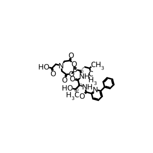 CC(C)C[C@H](NC(=O)[C@@H](NC(=O)c1cccc(-c2ccccc2)n1)[C@H](C)O)B1OC(=O)CN(CC(=O)O)CC(=O)O1